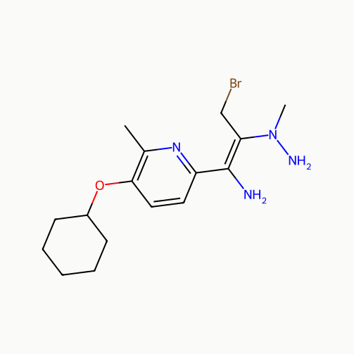 Cc1nc(/C(N)=C(\CBr)N(C)N)ccc1OC1CCCCC1